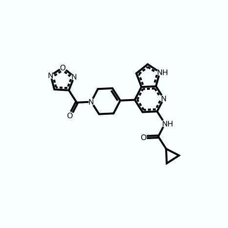 O=C(Nc1cc(C2=CCN(C(=O)c3cnon3)CC2)c2cc[nH]c2n1)C1CC1